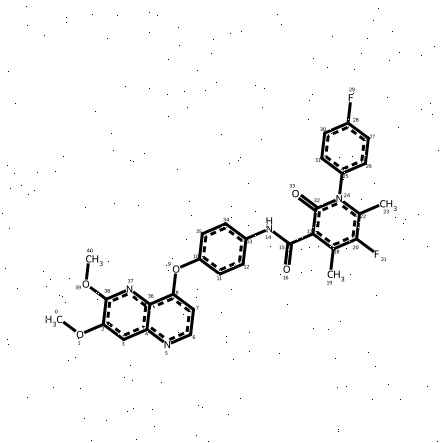 COc1cc2nccc(Oc3ccc(NC(=O)c4c(C)c(F)c(C)n(-c5ccc(F)cc5)c4=O)cc3)c2nc1OC